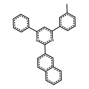 Cc1cccc(-c2cc(-c3ccccc3)nc(-c3ccc4ccccc4c3)n2)c1